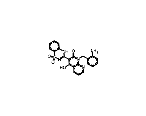 Cc1ccccc1Cn1c(=O)c(C2=NS(=O)(=O)c3ccccc3N2)c(O)c2cccnc21